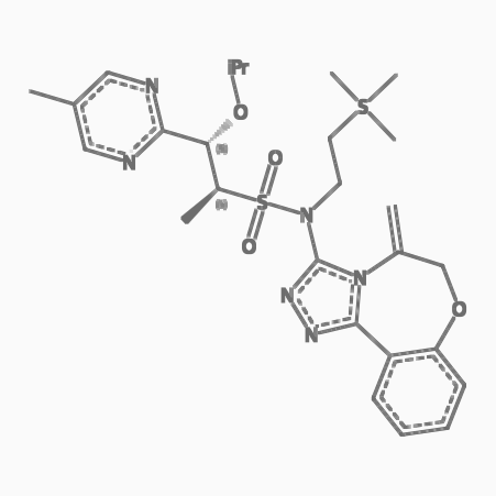 C=C1COc2ccccc2-c2nnc(N(CCS(C)(C)C)S(=O)(=O)[C@@H](C)[C@@H](OC(C)C)c3ncc(C)cn3)n21